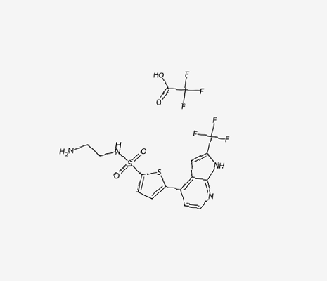 NCCNS(=O)(=O)c1ccc(-c2ccnc3[nH]c(C(F)(F)F)cc23)s1.O=C(O)C(F)(F)F